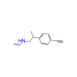 C#Cc1ccc(C(C)CNC=C)cc1